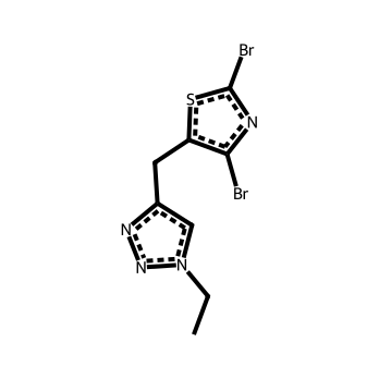 CCn1cc(Cc2sc(Br)nc2Br)nn1